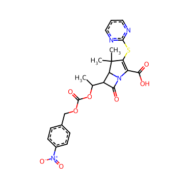 CC(OC(=O)OCc1ccc([N+](=O)[O-])cc1)C1C(=O)N2C(C(=O)O)=C(Sc3ncccn3)C(C)(C)C12